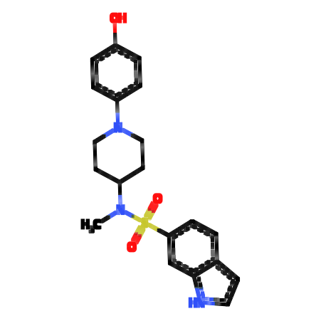 CN(C1CCN(c2ccc(O)cc2)CC1)S(=O)(=O)c1ccc2cc[nH]c2c1